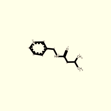 CC(C)[CH]C(=O)NCc1cccnc1